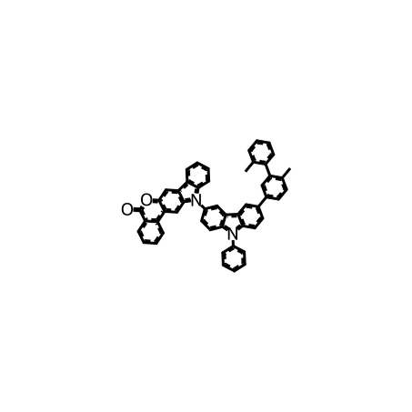 Cc1ccccc1-c1cc(-c2ccc3c(c2)c2cc(-n4c5ccccc5c5cc6oc(=O)c7ccccc7c6cc54)ccc2n3-c2ccccc2)ccc1C